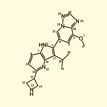 COc1cc(-c2[nH]c3ccc(C4CNC4)nc3c2C(C)C)cn2ncnc12